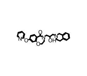 O=C1c2ccc(Oc3ccccn3)cc2OCCN1CC(O)CN1CCc2ccccc2C1